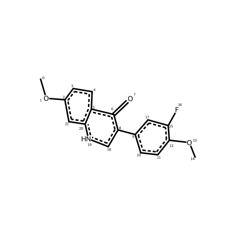 COc1ccc2c(=O)c(-c3ccc(OC)c(F)c3)c[nH]c2c1